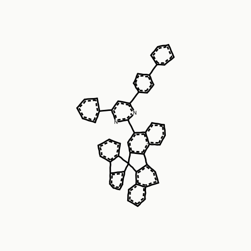 c1ccc(-c2ccc(-c3cc(-c4ccccc4)nc(-c4cc5c(c6ccccc46)-c4ccc6ccccc6c4C54c5ccccc5-c5ccccc54)n3)cc2)cc1